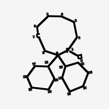 ClP1CCCCCCCC1(C1CCCCC1)C1CCCCC1